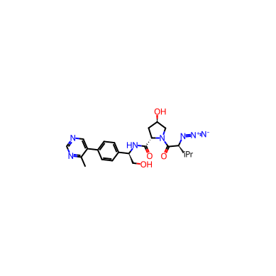 Cc1ncncc1-c1ccc([C@H](CO)NC(=O)[C@@H]2C[C@@H](O)CN2C(=O)[C@@H](N=[N+]=[N-])C(C)C)cc1